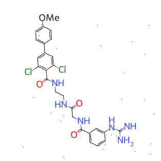 COc1ccc(-c2cc(Cl)c(C(=O)NCCNC(=O)CNC(=O)c3cccc(NC(=N)N)c3)c(Cl)c2)cc1